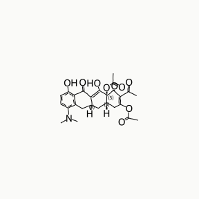 CC(=O)OC1=C(C(C)=O)C(=O)[C@@]2(OC(C)=O)C(O)=C3C(=O)c4c(O)ccc(N(C)C)c4C[C@H]3C[C@H]2C1